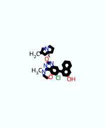 C=C1CN2CCC[C@@]2(COc2nc3c4c(c(Cl)c(-c5cc(O)cc6ccccc56)cc4n2)OCCN3C)C1